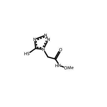 CONC(=O)Cn1nnnc1S